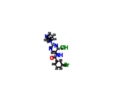 Cl.O=C(Nc1cnc(N2CCN3CCC2CC3)nc1)c1cccc(Br)c1